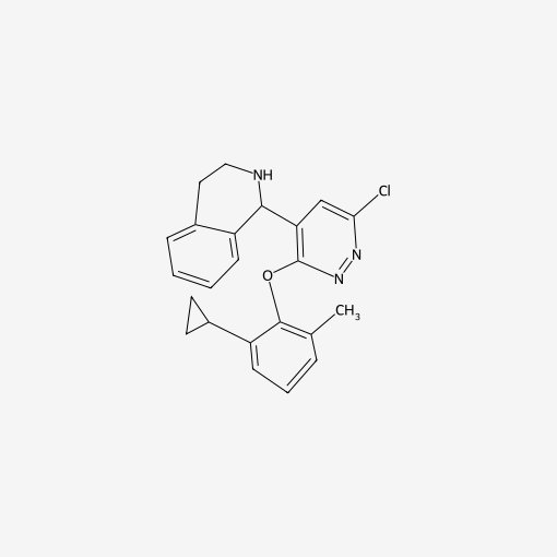 Cc1cccc(C2CC2)c1Oc1nnc(Cl)cc1C1NCCc2ccccc21